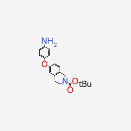 CC(C)(C)OC(=O)N1CCc2cc(Oc3ccc(N)cc3)ccc2C1